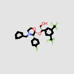 OC[C@@H](O[C@H]1OCCN(Cc2ccccc2)[C@H]1c1ccc(F)cc1)c1cc(C(F)(F)F)cc(C(F)(F)F)c1